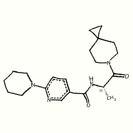 C[C@H](NC(=O)c1ccc(N2CCCCC2)nc1)C(=O)N1CCC2(CC1)CC2